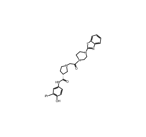 CC(C)c1cc(NC(=O)[C@@H]2CCN(CC(=O)N3CCN(c4nc5ccccc5s4)CC3)C2)ccc1O